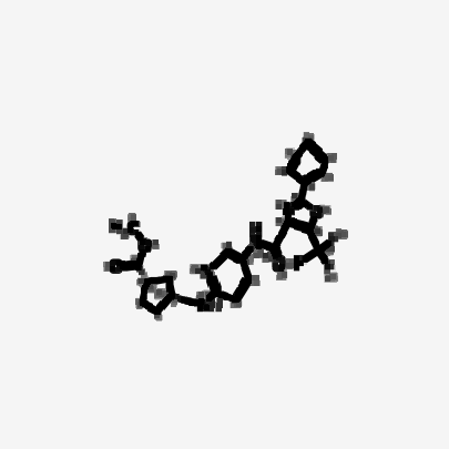 COC(=O)[C@H]1CC[C@H](Nc2ccc(NC(=O)c3nc(-c4ccccc4)oc3C(F)(F)F)cn2)C1